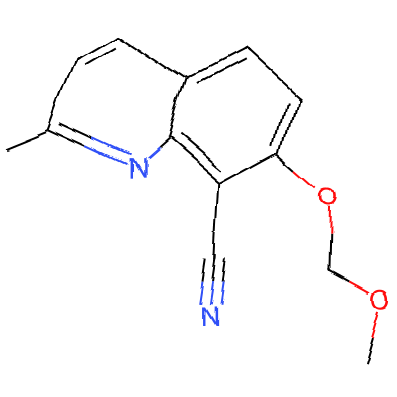 COCOc1ccc2ccc(C)nc2c1C#N